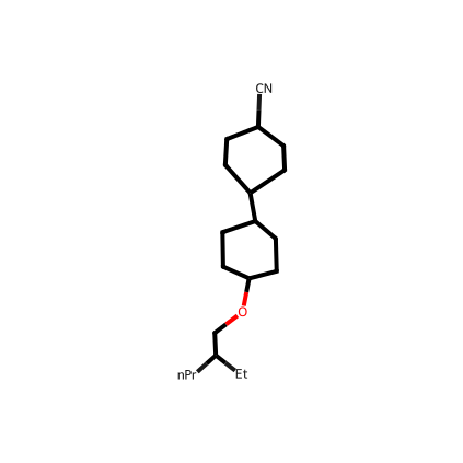 CCCC(CC)COC1CCC(C2CCC(C#N)CC2)CC1